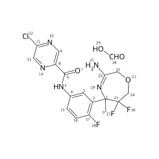 CC1(c2cc(NC(=O)c3cnc(Cl)cn3)ccc2F)N=C(N)COCC1(F)F.O=CO